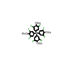 COc1c(F)cc([B-](c2cc(F)c(OC)c(F)c2)(c2cc(F)c(OC)c(F)c2)c2cc(F)c(OC)c(F)c2)cc1F